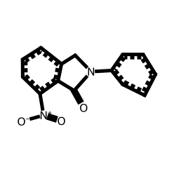 O=C1c2c(cccc2[N+](=O)[O-])CN1c1ccccc1